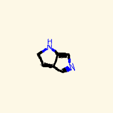 [C]1=C2C=NC=C2NC1